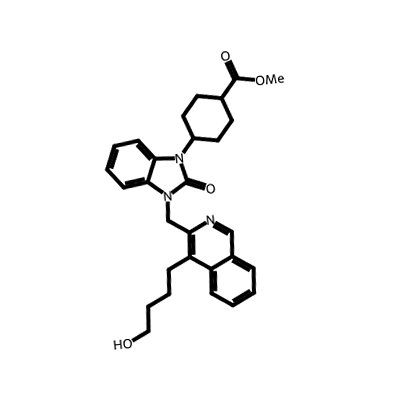 COC(=O)C1CCC(n2c(=O)n(Cc3ncc4ccccc4c3CCCCO)c3ccccc32)CC1